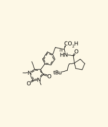 Cc1c(-c2ccc(C[C@H](NC(=O)C3(CCC(C)(C)C)CCCC3)C(=O)O)cc2)c(=O)n(C)c(=O)n1C